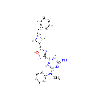 CN(c1ccccc1)c1nc(N)nc(-c2noc(C3CN(Cc4ccccc4)C3)n2)n1